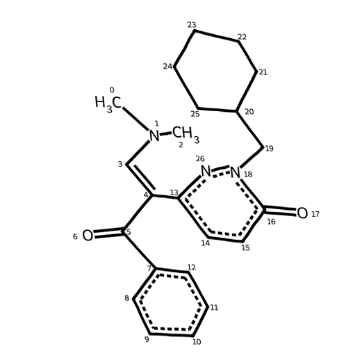 CN(C)C=C(C(=O)c1ccccc1)c1ccc(=O)n(CC2CCCCC2)n1